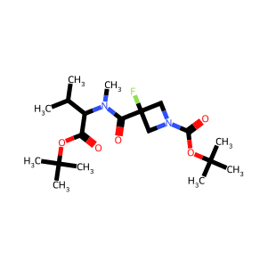 CC(C)C(C(=O)OC(C)(C)C)N(C)C(=O)C1(F)CN(C(=O)OC(C)(C)C)C1